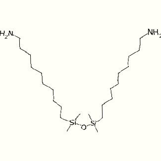 C[Si](C)(CCCCCCCCCCN)O[Si](C)(C)CCCCCCCCCCN